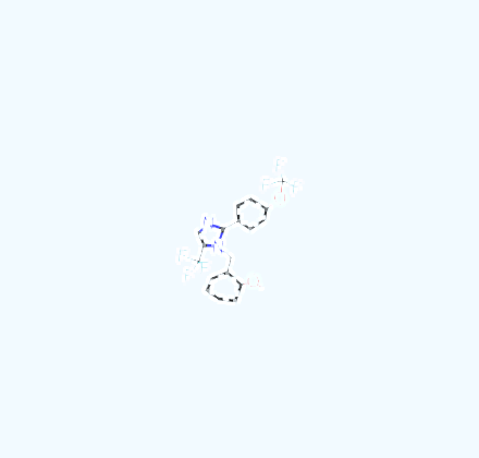 COc1ccccc1Cn1c(C(F)(F)F)cnc1-c1ccc(OC(F)(F)F)cc1